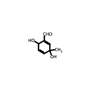 CC1(O)C=CC(O)C([C]=O)=C1